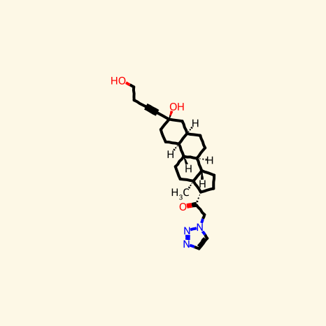 C[C@]12CC[C@H]3[C@@H](CC[C@@H]4C[C@@](O)(C#CCCO)CC[C@@H]43)[C@@H]1CC[C@@H]2C(=O)Cn1ccnn1